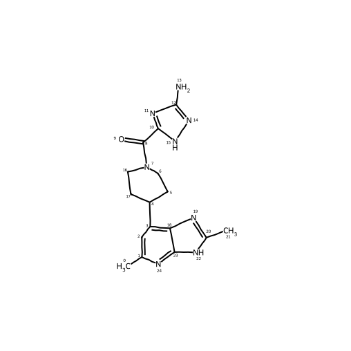 Cc1cc(C2CCN(C(=O)c3nc(N)n[nH]3)CC2)c2nc(C)[nH]c2n1